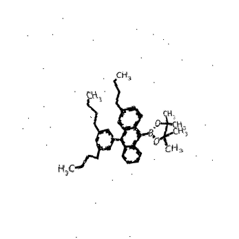 CCCCc1cc(CCCC)cc(-c2c3ccccc3c(B3OC(C)(C)C(C)(C)O3)c3ccc(CCCC)cc23)c1